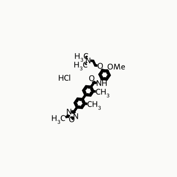 COc1ccc(NC(=O)c2ccc(-c3ccc(-c4noc(C)n4)cc3C)cc2C)cc1OCCN(C)C.Cl